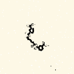 O=C(CCCCC(=O)OC(=O)C1CCCC(C(=O)O)C1)OC(=O)C1CCCC(C(=O)O)C1